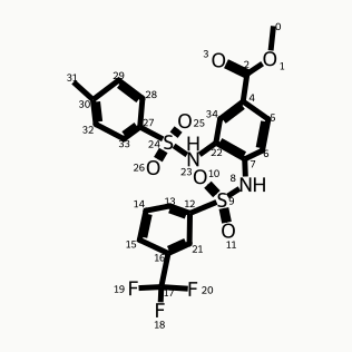 COC(=O)c1ccc(NS(=O)(=O)c2cccc(C(F)(F)F)c2)c(NS(=O)(=O)c2ccc(C)cc2)c1